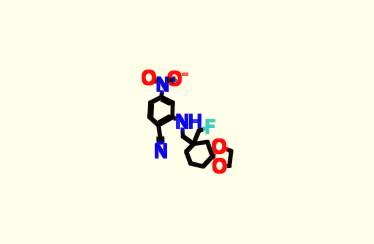 N#Cc1ccc([N+](=O)[O-])cc1NCC1(CF)CCCC2(C1)OCCO2